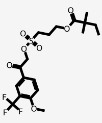 CCC(C)(C)C(=O)OCCCS(=O)(=O)OCC(=O)c1ccc(OC)c(C(F)(F)F)c1